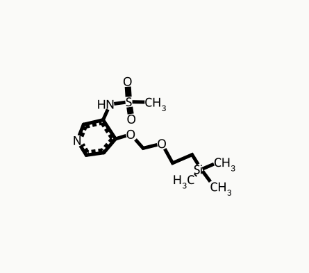 C[Si](C)(C)CCOCOc1ccncc1NS(C)(=O)=O